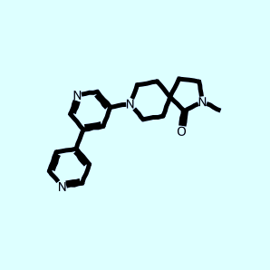 CN1CCC2(CCN(c3cncc(-c4ccncc4)c3)CC2)C1=O